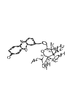 CC(=O)C(O)[C@H]1O[C@@H](Oc2ccc3nc4ccc(=O)cc-4oc3c2)[C@@](N)(C(C)=O)[C@](O)(C(C)=O)[C@@]1(O)C(C)=O